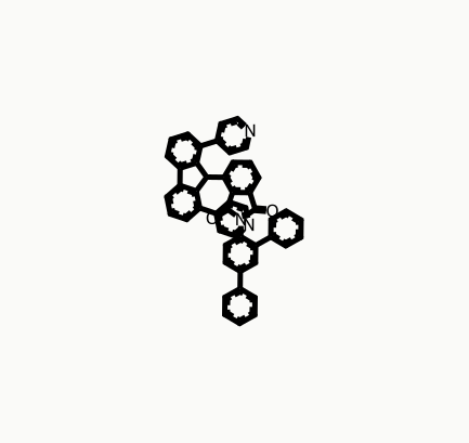 O=C1c2cccc(C3c4c(-c5ccncc5)cccc4-c4cccc(-c5ccncc5)c43)c2C(=O)N1c1ccc(-c2ccccc2)cc1-c1ccccc1